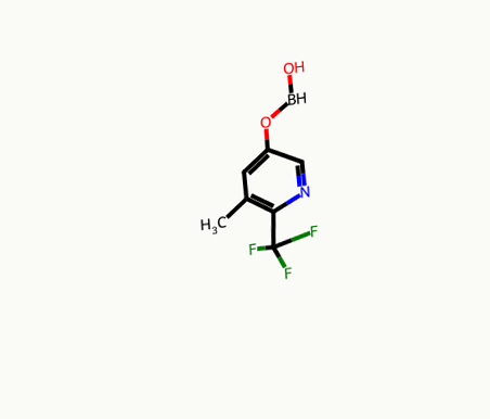 Cc1cc(OBO)cnc1C(F)(F)F